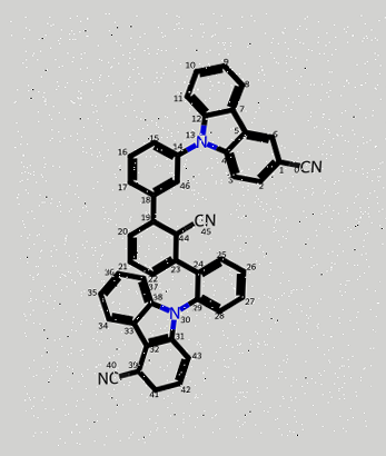 N#Cc1ccc2c(c1)c1ccccc1n2-c1cccc(C2C=CC=C(c3ccccc3-n3c4c(c5ccccc53)C(C#N)CC=C4)C2C#N)c1